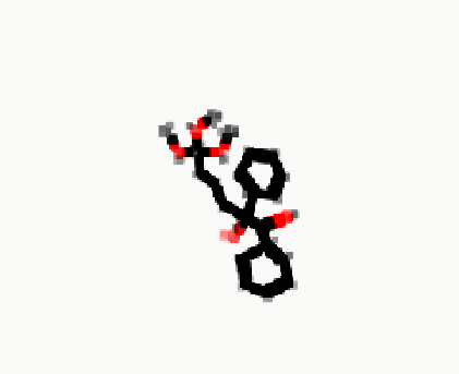 CCO[Si](CCCC(O)(C(=O)c1ccccc1)c1ccccc1)(OCC)OCC